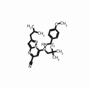 COc1ccc(CNN(CC(C)(C)C)c2cc(C#N)nc3cc(CC(C)C)nn23)cc1